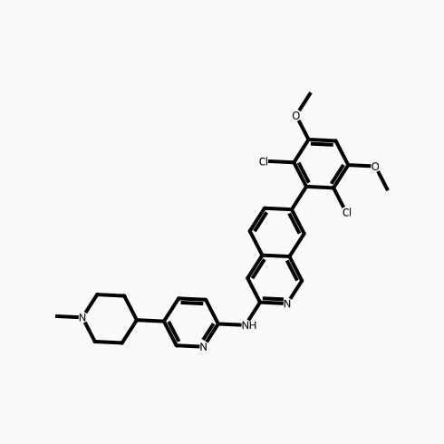 COc1cc(OC)c(Cl)c(-c2ccc3cc(Nc4ccc(C5CCN(C)CC5)cn4)ncc3c2)c1Cl